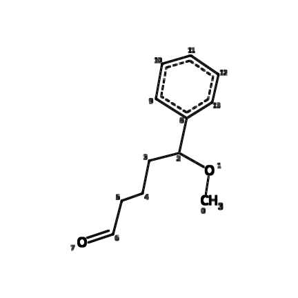 COC(CCCC=O)c1ccccc1